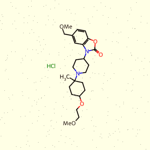 COCCOC1CCC(C)(N2CCC(n3c(=O)oc4ccc(COC)cc43)CC2)CC1.Cl